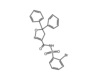 O=C(NS(=O)(=O)c1ccccc1Br)C1=NOC(c2ccccc2)(c2ccccc2)C1